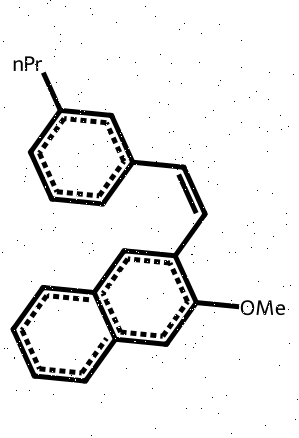 C[CH]Cc1cccc(/C=C\c2cc3ccccc3cc2OC)c1